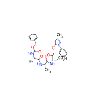 Cc1cc(OCC(=O)[C@H](CC(=O)O)NC(=O)[C@H](C)NC(=O)[C@@H](NC(=O)OCc2ccccc2)C(C)C)n(-c2ccccc2)n1